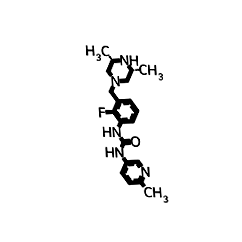 Cc1ccc(NC(=O)Nc2cccc(CN3C[C@@H](C)N[C@@H](C)C3)c2F)cn1